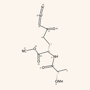 CO[C@@H](C)C(=O)N[C@@H](CCC(=O)C=[N+]=[N-])C(=O)OC#N